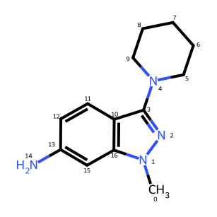 Cn1nc(N2CCCCC2)c2ccc(N)cc21